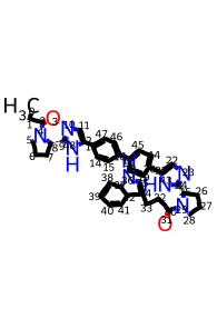 CCC(=O)N1CCC[C@H]1c1ncc(-c2ccc(-c3ccc(-c4cnc([C@@H]5CCCN5C(=O)CCC5=CNC6C=CC=CC56)[nH]4)cc3)cc2)[nH]1